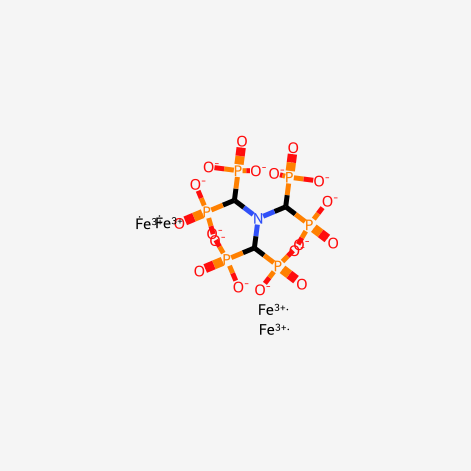 O=P([O-])([O-])C(N(C(P(=O)([O-])[O-])P(=O)([O-])[O-])C(P(=O)([O-])[O-])P(=O)([O-])[O-])P(=O)([O-])[O-].[Fe+3].[Fe+3].[Fe+3].[Fe+3]